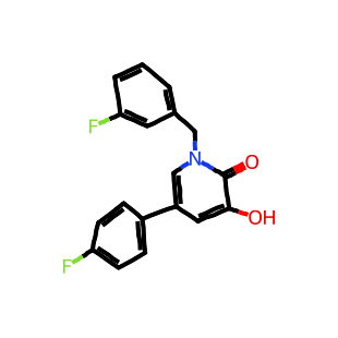 O=c1c(O)cc(-c2ccc(F)cc2)cn1Cc1cccc(F)c1